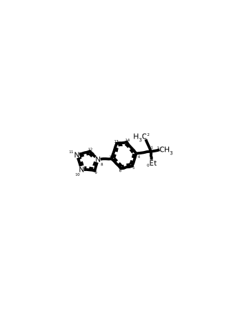 CCC(C)(C)c1ccc(-n2cnnc2)cc1